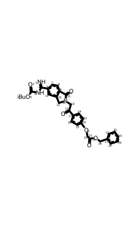 CC(C)COC(=O)NC(=N)c1ccc2c(c1)CN(CC(=O)c1ccc(OCC(=O)OCc3ccccc3)cc1)C2=O